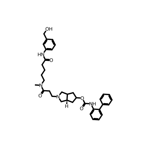 CN(CCCCC(=O)Nc1cccc(CO)c1)C(=O)CCN1CC2CC(OC(=O)Nc3ccccc3-c3ccccc3)C[C@@H]2C1